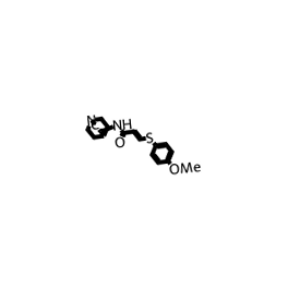 COc1ccc(SC=CC(=O)NC2CN3CCC2CC3)cc1